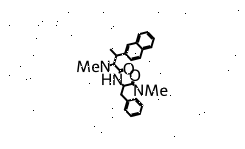 CNC(=O)C(Cc1ccccc1)NC(=O)C(NC)C(C)c1ccc2ccccc2c1